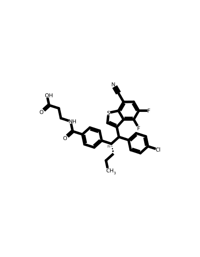 CCC[C@H](c1ccc(C(=O)NCCC(=O)O)cc1)C(c1ccc(Cl)cc1)c1csc2c(C#N)cc(F)c(F)c12